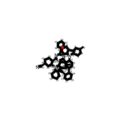 Cc1ccc2c(c1)c1ccccc1n2-c1ccc(-c2ccccc2C#N)cc1-c1nc(-c2ccccc2)nc(-c2ccc(C#N)cc2-n2c3ccccc3c3cc(C)ccc32)n1